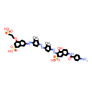 Cc1cc(N=Nc2ccc(N=Nc3c(S(=O)(=O)O)cc4cc(NC(=O)c5ccc(N)cc5)ccc4c3O)cc2C)ccc1N=Nc1ccc2c(OCCCS(=O)(=O)O)cc(S(=O)(=O)O)cc2c1